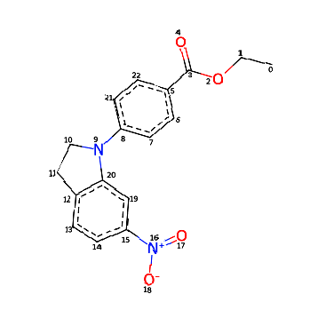 CCOC(=O)c1ccc(N2CCc3ccc([N+](=O)[O-])cc32)cc1